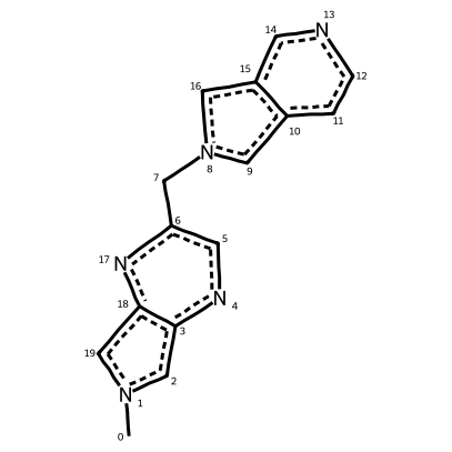 Cn1cc2ncc(Cn3cc4ccncc4c3)nc2c1